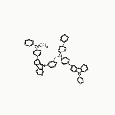 CN(c1ccccc1)c1ccc(-c2ccc3c4ccccc4n(-c4cccc(CN(c5ccc(-c6ccccc6)cc5)c5ccc(-c6ccc7c(c6)c6ccccc6n7-c6ccccc6)cc5)c4)c3c2)cc1